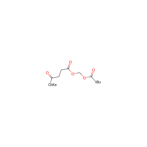 COC(=O)CCC(=O)OCOC(=O)C(C)(C)C